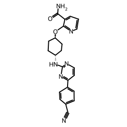 N#Cc1ccc(-c2ccnc(N[C@H]3CC[C@H](Oc4ncccc4C(N)=O)CC3)n2)cc1